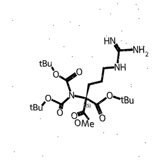 COC(=O)[C@@](CCCNC(=N)N)(C(=O)OC(C)(C)C)N(C(=O)OC(C)(C)C)C(=O)OC(C)(C)C